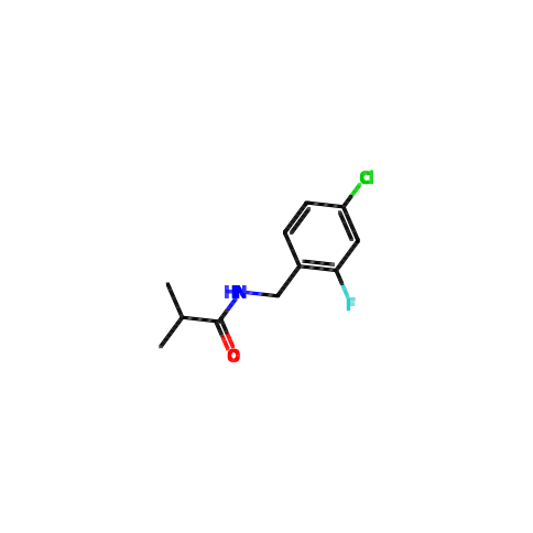 CC(C)C(=O)NCc1ccc(Cl)cc1F